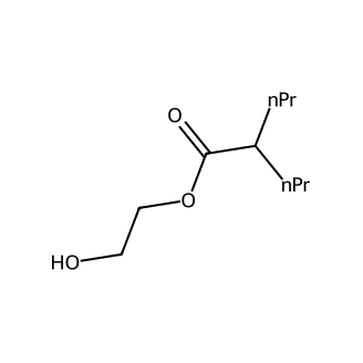 CCCC(CCC)C(=O)OCCO